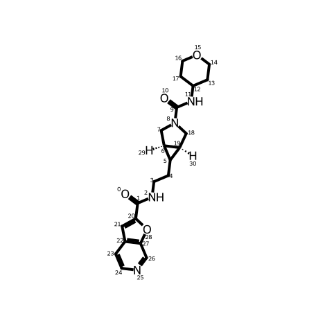 O=C(NCCC1[C@H]2CN(C(=O)NC3CCOCC3)C[C@@H]12)c1cc2ccncc2o1